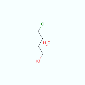 O.OCCCCCl